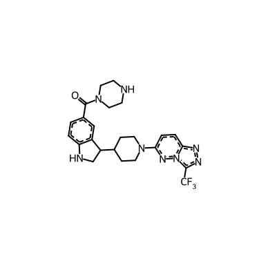 O=C(c1ccc2c(c1)C(C1CCN(c3ccc4nnc(C(F)(F)F)n4n3)CC1)CN2)N1CCNCC1